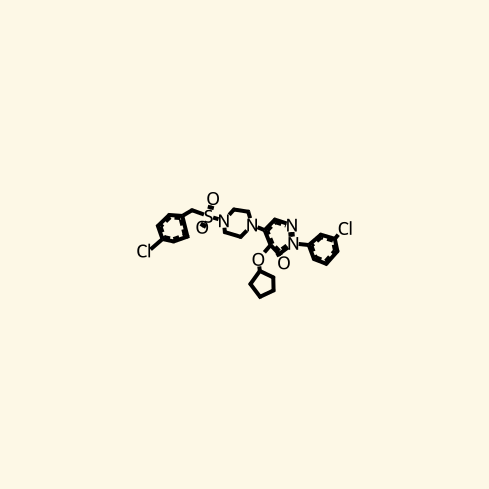 O=c1c(OC2CCCC2)c(N2CCN(S(=O)(=O)Cc3ccc(Cl)cc3)CC2)cnn1-c1cccc(Cl)c1